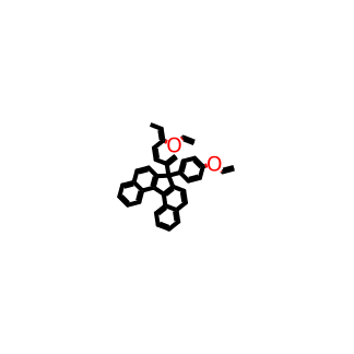 C=COC(/C=C\C(=C)C1(c2ccc(OC=C)cc2)c2ccc3ccccc3c2-c2c1ccc1ccccc21)=C/C